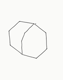 C1C[C]2CCCC(C1)CC2